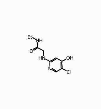 CCNC(=O)CNc1cc(O)c(Cl)cn1